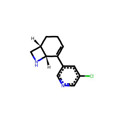 Clc1cncc(C2=CCC[C@H]3CN[C@@H]23)c1